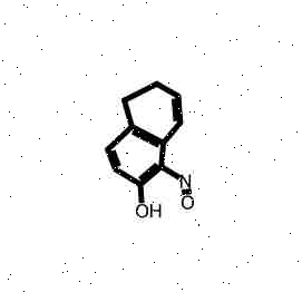 O=Nc1c(O)ccc2c1C=CCC2